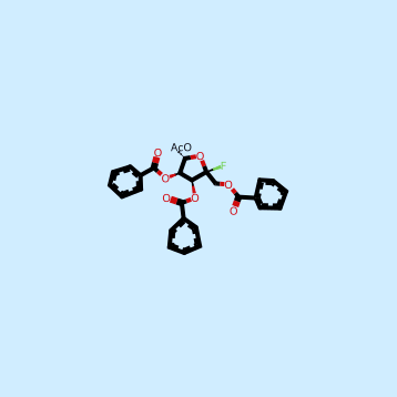 CC(=O)O[C@@H]1O[C@](F)(COC(=O)c2ccccc2)[C@@H](OC(=O)c2ccccc2)[C@H]1OC(=O)c1ccccc1